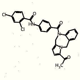 CC(=O)c1ccc2n1Cc1ccccc1N(C(=O)c1ccc(NC(=O)c3ccc(Cl)cc3Cl)cc1)C2